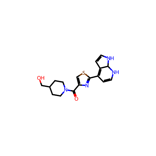 O=C(c1csc(C2=C3C=CNC3NC=C2)n1)N1CCC(CO)CC1